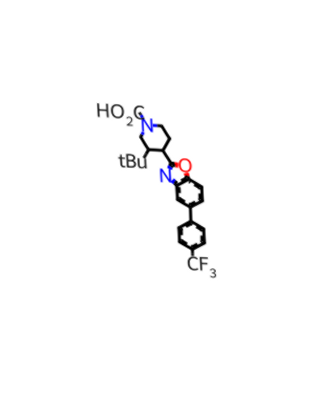 CC(C)(C)C1CN(C(=O)O)CCC1c1nc2cc(-c3ccc(C(F)(F)F)cc3)ccc2o1